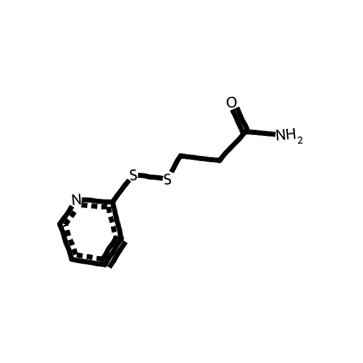 NC(=O)CCSSc1c#cccn1